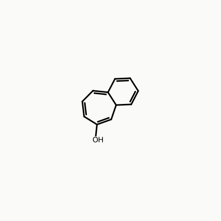 OC1=CC2C=CC=CC2=CC=C1